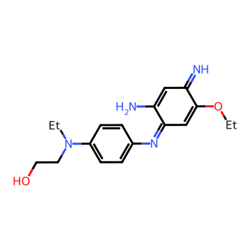 CCOC1=C/C(=N/c2ccc(N(CC)CCO)cc2)C(N)=CC1=N